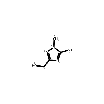 Cn1nc(CO)nc1S